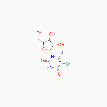 O=c1[nH]c(=O)n([C@@H]2O[C@H](CO)C(O)C2O)c(I)c1Br